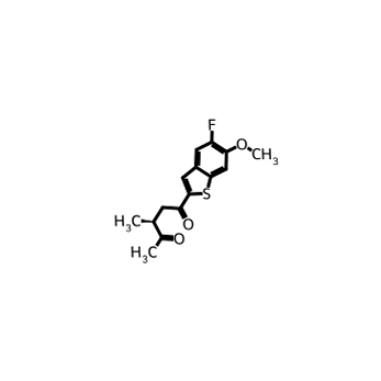 COc1cc2sc(C(=O)C[C@H](C)C(C)=O)cc2cc1F